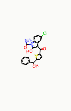 NC(=O)n1c(O)c(C(=O)c2ccc(C(O)c3ccccc3)s2)c2cc(Cl)ccc21